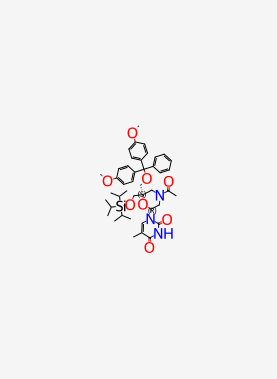 COc1ccc(C(OC[C@]2(CO[Si](C(C)C)(C(C)C)C(C)C)CN(C(C)=O)C[C@H](n3cc(C)c(=O)[nH]c3=O)O2)(c2ccccc2)c2ccc(OC)cc2)cc1